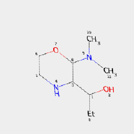 CCC(O)C1NCCOC1N(C)C